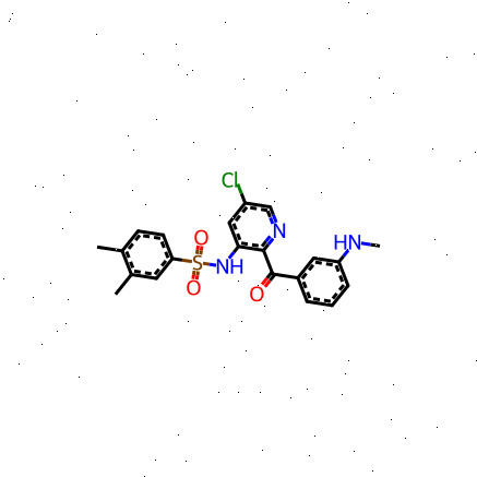 CNc1cccc(C(=O)c2ncc(Cl)cc2NS(=O)(=O)c2ccc(C)c(C)c2)c1